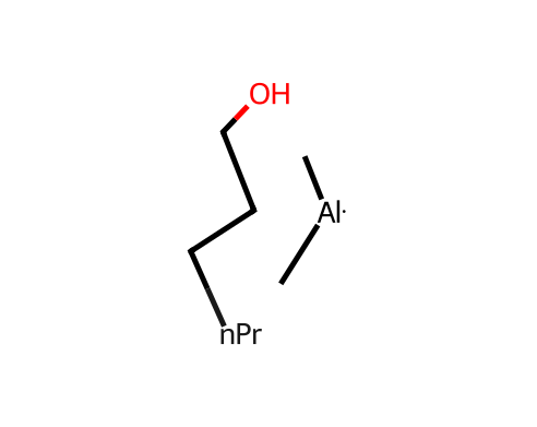 CCCCCCO.[CH3][Al][CH3]